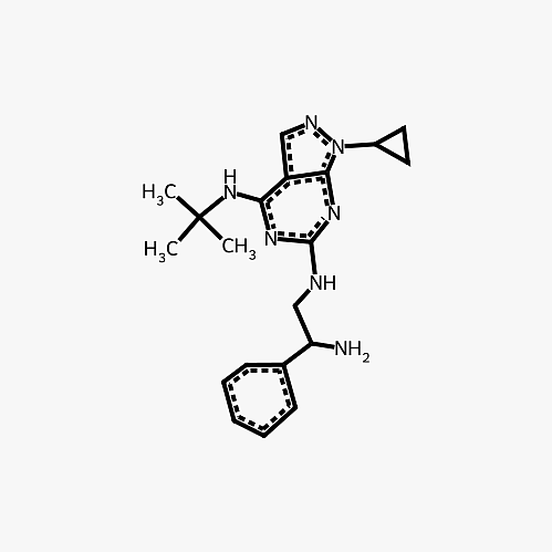 CC(C)(C)Nc1nc(NCC(N)c2ccccc2)nc2c1cnn2C1CC1